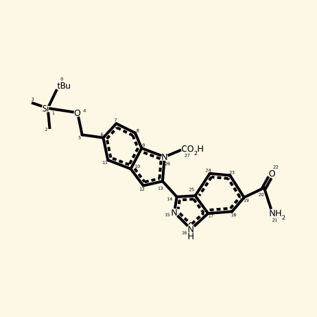 CC(C)(C)[Si](C)(C)OCc1ccc2c(c1)cc(-c1n[nH]c3cc(C(N)=O)ccc13)n2C(=O)O